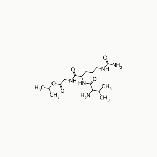 CC(C)OC(=O)CNC(=O)C(CCCNC(N)=O)NC(=O)C(N)C(C)C